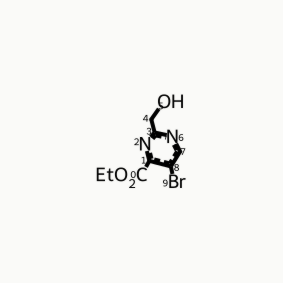 CCOC(=O)c1nc(CO)ncc1Br